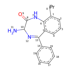 CC(C)c1cccc2c1NC(=O)C(N)N=C2c1ccccc1